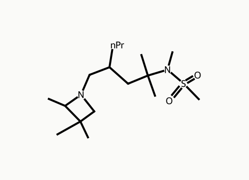 CCCC(CN1CC(C)(C)C1C)CC(C)(C)N(C)S(C)(=O)=O